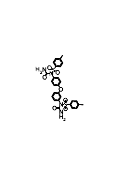 Cc1ccc(S(=O)(=O)N(C(N)=O)c2ccc(Oc3cccc(N(C(N)=O)S(=O)(=O)c4ccc(C)cc4)c3)cc2)cc1